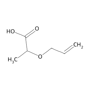 C=CCOC(C)C(=O)O